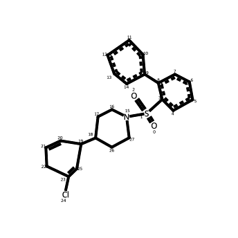 O=S(=O)(c1ccccc1-c1ccccc1)N1CCC(C2C=CCC(Cl)=C2)CC1